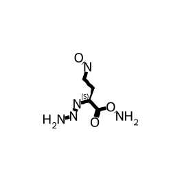 NN=N[C@@H](CCN=O)C(=O)ON